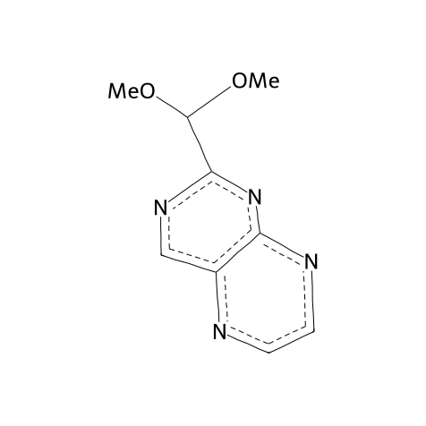 COC(OC)c1ncc2nccnc2n1